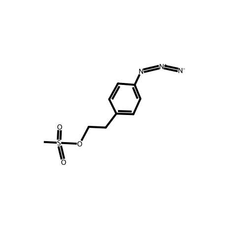 CS(=O)(=O)OCCc1ccc(N=[N+]=[N-])cc1